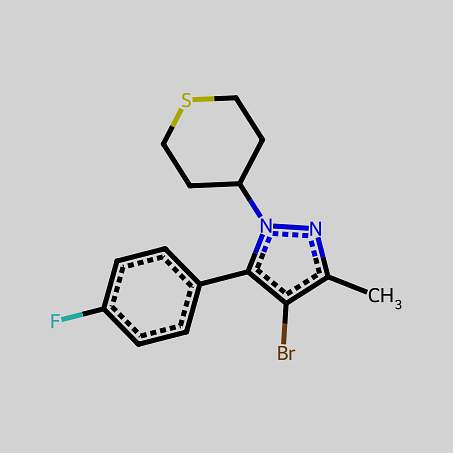 Cc1nn(C2CCSCC2)c(-c2ccc(F)cc2)c1Br